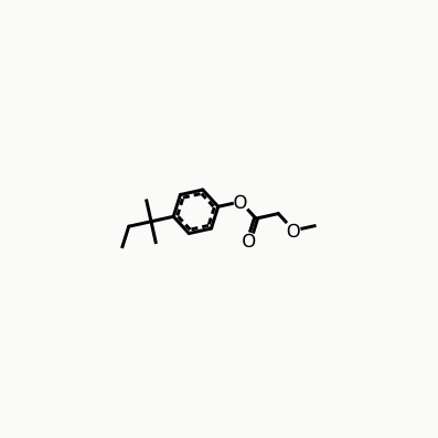 CCC(C)(C)c1ccc(OC(=O)COC)cc1